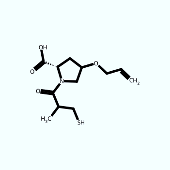 C=CCOC1C[C@@H](C(=O)O)N(C(=O)C(C)CS)C1